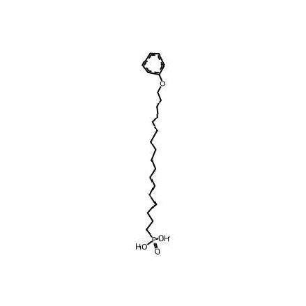 O=P(O)(O)CCCCCCCCCCCCCCCCCOc1ccccc1